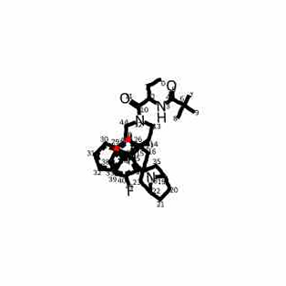 CCC(NC(=O)C(C)(C)C)C(=O)N1CCC(CCN2C3CCC2CC(n2c(C)nc4ccccc42)C3)(c2cccc(F)c2)CC1